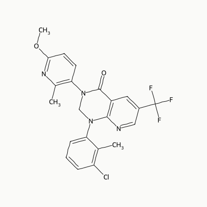 COc1ccc(N2CN(c3cccc(Cl)c3C)c3ncc(C(F)(F)F)cc3C2=O)c(C)n1